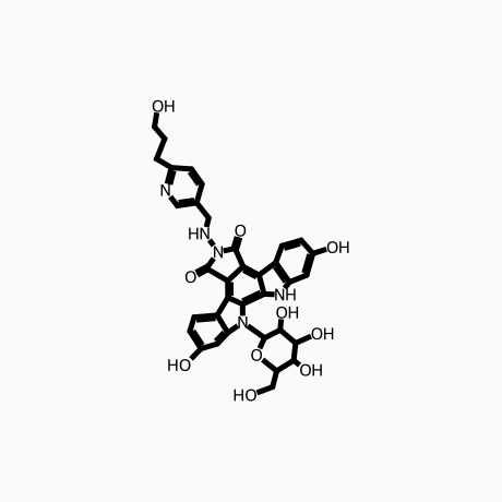 O=C1c2c(c3c4ccc(O)cc4n(C4OC(CO)C(O)C(O)C4O)c3c3[nH]c4cc(O)ccc4c23)C(=O)N1NCc1ccc(CCCO)nc1